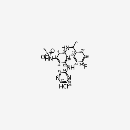 CC(Nc1cc(NS(C)(=O)=O)cc(Nc2cnccn2)n1)c1ccc(F)cc1.Cl